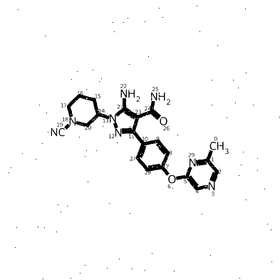 Cc1cncc(Oc2ccc(-c3nn(C4CCCN(C#N)C4)c(N)c3C(N)=O)cc2)n1